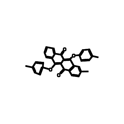 Cc1ccc(OC2=C3C(=O)c4ccc(C)cc4C(Oc4ccc(C)cc4)=C3C(=O)c3ccccc32)cc1